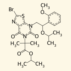 COc1ccccc1C(Cn1c(=O)n(C(C)(C)C(=O)OC(C)C)c(=O)c2nc(Br)sc21)OC(C)C